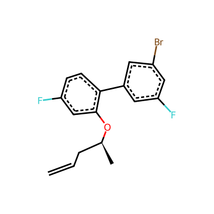 C=CC[C@H](C)Oc1cc(F)ccc1-c1cc(F)cc(Br)c1